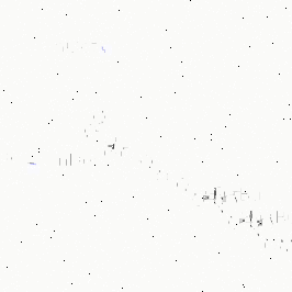 CCCCCCCC/C=C\CCCCCCCCOCC(OCCCCCCCC/C=C\CCCCCCCC)C(CCCCCCCCCCCC)OC(=O)COCCOCCOCCOCCOC(=O)CN(CCOC(=O)CN(CCOC)C(=O)OC(C)(C)C)C(=O)OC(C)(C)C